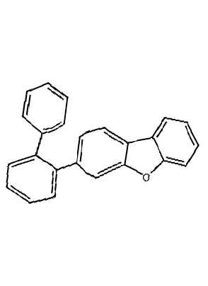 c1ccc(-c2ccccc2-c2ccc3c(c2)oc2ccccc23)cc1